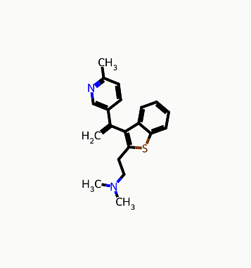 C=C(c1ccc(C)nc1)c1c(CCN(C)C)sc2ccccc12